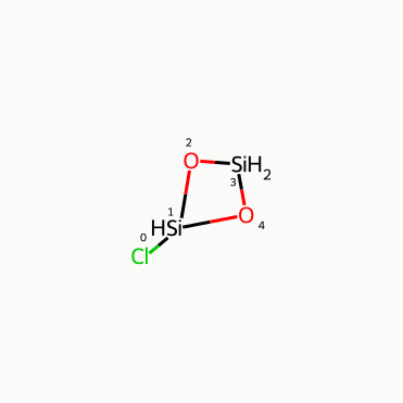 Cl[SiH]1O[SiH2]O1